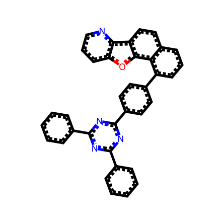 c1ccc(-c2nc(-c3ccccc3)nc(-c3ccc(-c4cccc5ccc6c7ncccc7oc6c45)cc3)n2)cc1